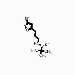 CC(C)(C)[S@+]([O-])NCCCc1cc(Br)no1